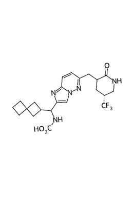 O=C(O)NC(c1cn2nc(CC3C[C@@H](C(F)(F)F)CNC3=O)ccc2n1)C1CC2(CCC2)C1